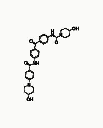 O=C(Nc1ccc(C(=O)c2ccc(NC(=O)N3CCC(O)CC3)cc2)cc1)c1ccc(N2CCC(O)CC2)cc1